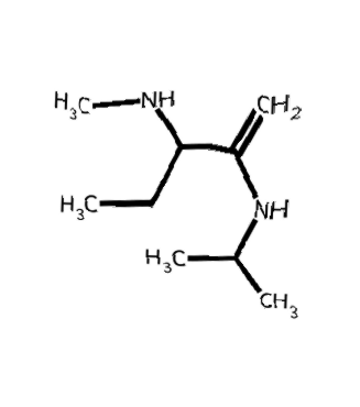 C=C(NC(C)C)C(CC)NC